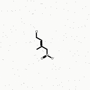 C/C(=C\CCl)C[N+](=O)[O-]